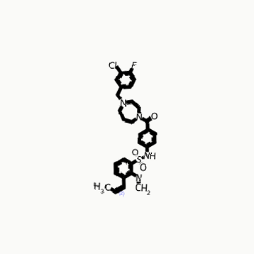 C=Nc1c(/C=C\C)cccc1S(=O)(=O)Nc1ccc(C(=O)N2CCCN(Cc3ccc(F)c(Cl)c3)CC2)cc1